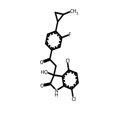 CC1CC1c1ccc(C(=O)CC2(O)C(=O)Nc3c(Cl)ccc(Cl)c32)cc1F